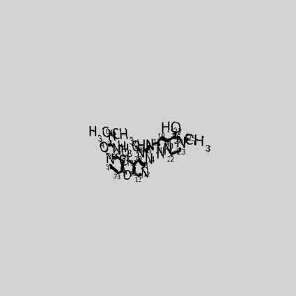 CN(C)C(=O)Nc1cc(Oc2cnc3nc(Nc4cc5n(n4)CCN(C)C5O)n(C)c3c2Cl)ccn1